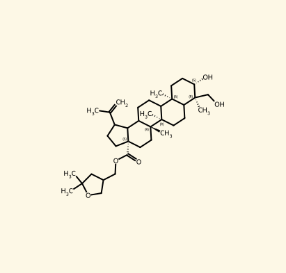 C=C(C)C1CC[C@]2(C(=O)OCC3COC(C)(C)C3)CC[C@]3(C)C(CCC4[C@@]5(C)CC[C@H](O)[C@@](C)(CO)C5CC[C@]43C)C12